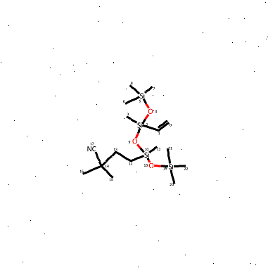 C=C[Si](C)(O[Si](C)(C)C)O[Si](C)(CCC(C)(C)C#N)O[Si](C)(C)C